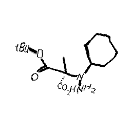 CC(C)(C)OC(=O)[C@](C)(C(=O)O)N(N)C1CCCCC1